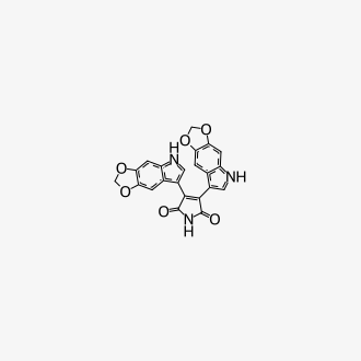 O=C1NC(=O)C(c2c[nH]c3cc4c(cc23)OCO4)=C1c1c[nH]c2cc3c(cc12)OCO3